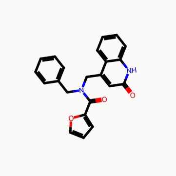 O=C(c1ccco1)N(Cc1ccccc1)Cc1cc(=O)[nH]c2ccccc12